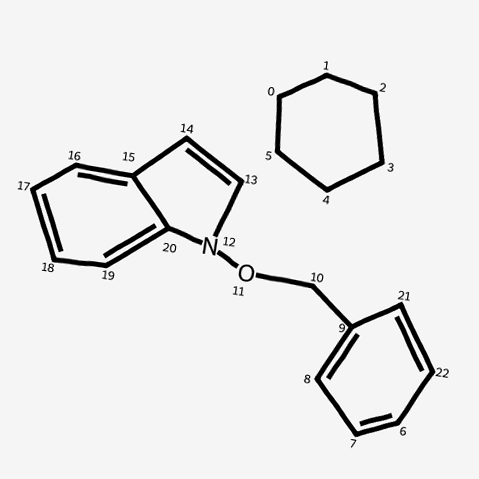 C1CCCCC1.c1ccc(COn2ccc3ccccc32)cc1